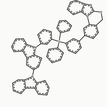 c1ccc([Si](c2ccccc2)(c2cccc(-c3ccc4c(c3)-n3c(nc5ccccc53)OC4)c2)c2cccc(-n3c4ccccc4c4cc(-n5c6ccccc6c6ccccc65)ccc43)c2)cc1